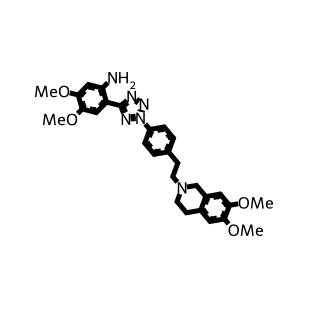 COc1cc(N)c(-c2nnn(-c3ccc(CCN4CCc5cc(OC)c(OC)cc5C4)cc3)n2)cc1OC